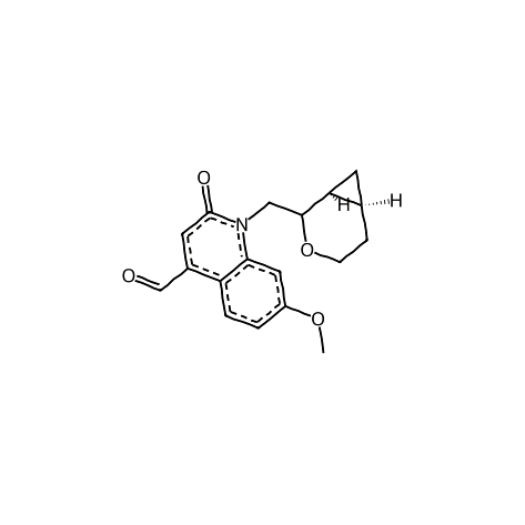 COc1ccc2c(C=O)cc(=O)n(CC3OCC[C@@H]4C[C@H]34)c2c1